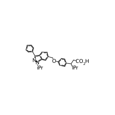 CC(C)C(CC(=O)O)c1ccc(OCc2ccc3c(-c4ccccc4)nn(C(C)C)c3c2)cc1